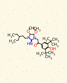 CCC(CC)CCN1C(=N)N(CC(=O)c2cc(C(C)(C)C)c(O)c(C(C)(C)C)c2)C(OC)C1OC